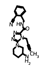 CC#CCn1c(C(=O)NCc2ccccc2C#N)nnc1N1CCCC(N)C1